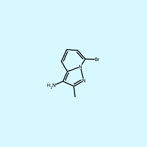 Cc1nn2c(Br)cccc2c1N